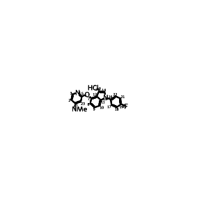 CNc1ccnc(Oc2cccc3c2ccn3-c2ccc(F)cc2)c1.Cl